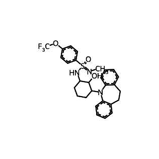 CN=S(=O)(NC1CCCC(N2c3ccccc3CCc3ccccc32)C1O)c1ccc(OC(F)(F)F)cc1